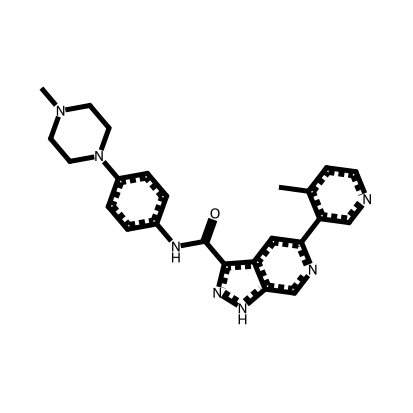 Cc1ccncc1-c1cc2c(C(=O)Nc3ccc(N4CCN(C)CC4)cc3)n[nH]c2cn1